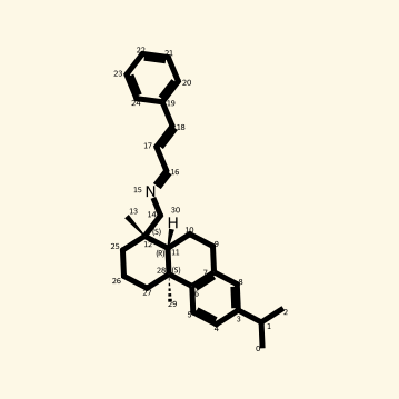 CC(C)c1ccc2c(c1)CC[C@H]1[C@@](C)(CN=CC=Cc3ccccc3)CCC[C@]21C